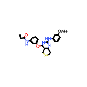 C=CC(=O)Nc1cccc(Oc2nc(Nc3cccc(OC)c3)nc3c2CSCC3)c1